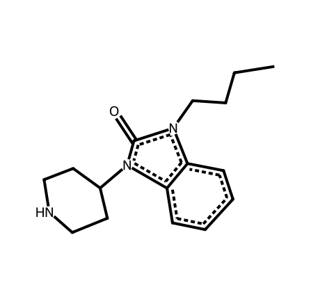 CCCCn1c(=O)n(C2CCNCC2)c2ccccc21